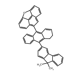 CC1(C)c2ccccc2-c2cc(-c3c4c(c(-c5cc6cccc7oc8cccc5c8c67)c5ccccc35)C=CCC4)ccc21